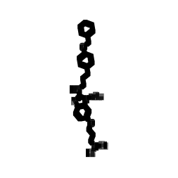 CCCCn1c(NCCCc2ccc(OCc3ccccc3)cc2)nc2ccc(OCCCN(CC)CC)cc21